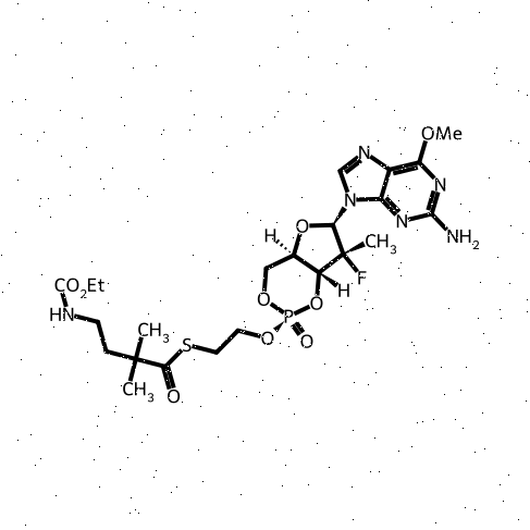 CCOC(=O)NCCC(C)(C)C(=O)SCCO[P@@]1(=O)OC[C@H]2O[C@@H](n3cnc4c(OC)nc(N)nc43)[C@](C)(F)[C@@H]2O1